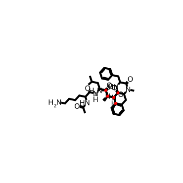 CC(=O)NC(CCCCN)C(=O)NC(CC(C)C)C(=O)N(C)C(C(=O)NC(Cc1ccccc1)C(=O)N(C)C(Cc1ccccc1)C(=O)NC(C)C(N)=O)C(C)C